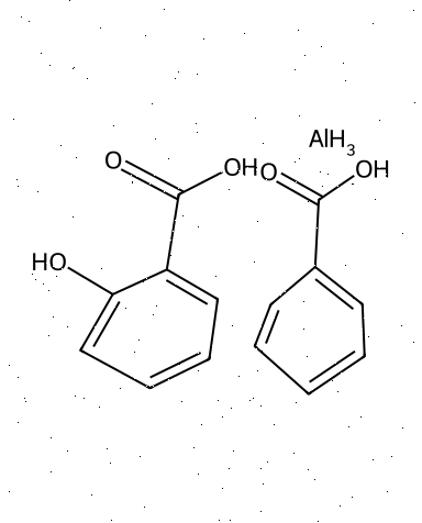 O=C(O)c1ccccc1.O=C(O)c1ccccc1O.[AlH3]